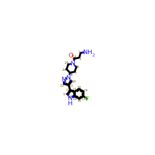 NCCC(=O)N1CCC(n2cc(-c3c[nH]c4cc(F)ccc34)cn2)CC1